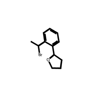 CC(Br)c1ccccc1C1CCCO1